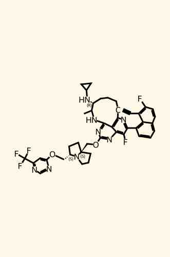 C#Cc1c(F)ccc2cccc(-c3nc4c5c(nc(OC[C@@]67CCCN6[C@H](COc6cc(C(F)(F)F)ncn6)CC7)nc5c3F)NC(C)[C@H](NC3CC3)CCCC4)c12